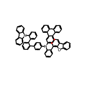 c1ccc(-c2ccccc2-n2c3ccccc3c3ccccc32)c(-c2ccc(N(c3ccc4c5ccccc5c5ccccc5c4c3)c3ccccc3-c3cccc4c3oc3ccccc34)cc2)c1